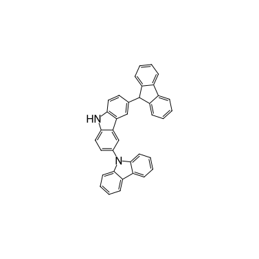 c1ccc2c(c1)-c1ccccc1C2c1ccc2[nH]c3ccc(-n4c5ccccc5c5ccccc54)cc3c2c1